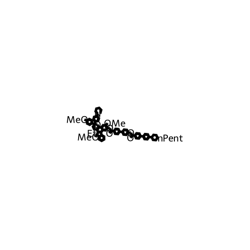 CCCCCC1CCC(c2ccc(-c3ccc(C(=O)Oc4ccc(-c5ccc(C(=O)Oc6cc7c8c(c9c(c7cc6OC)OC(c6ccc(OC)cc6)(c6ccc(N7CCCCC7)cc6)C=C9)C(CC)(OC)c6ccccc6-8)cc5)cc4)cc3)cc2)CC1